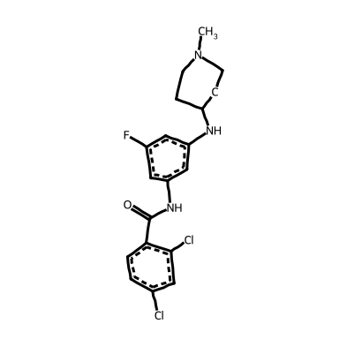 CN1CCC(Nc2cc(F)cc(NC(=O)c3ccc(Cl)cc3Cl)c2)CC1